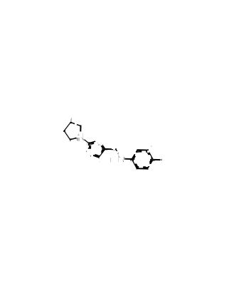 Fc1ccc(NCc2cnc(N3CCCC3)s2)cc1